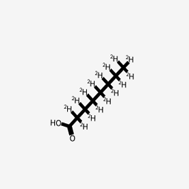 [2H]C([2H])([2H])C([2H])([2H])C([2H])([2H])C([2H])([2H])C([2H])([2H])C([2H])([2H])C([2H])([2H])C(=O)O